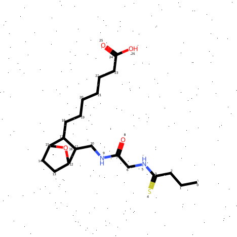 CCCC(=S)NCC(=O)NCC1C2CCC(O2)C1CCCCCCC(=O)O